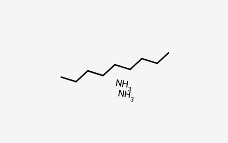 CCCCCCCCC.N.N